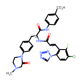 CN1CCN(c2ccc(C[C@H](NC(=O)/C=C/c3c(-n4cnnn4)ccc(Cl)c3F)C(=O)Nc3ccc(C(=O)O)cc3)cc2)C(=O)C1